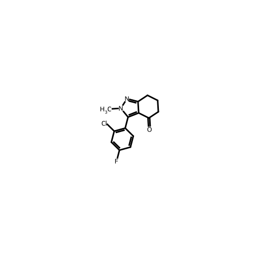 Cn1nc2c(c1-c1ccc(F)cc1Cl)C(=O)CCC2